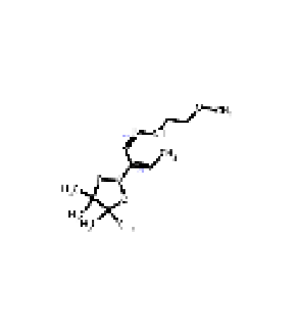 C/C=C(\C=N/NCCOC)B1OC(C)(C)C(C)(C)O1